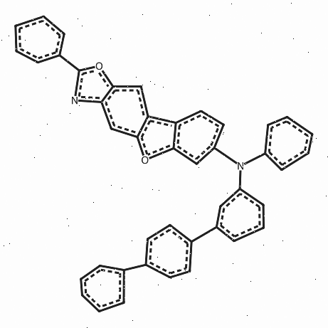 c1ccc(-c2ccc(-c3cccc(N(c4ccccc4)c4ccc5c(c4)oc4cc6nc(-c7ccccc7)oc6cc45)c3)cc2)cc1